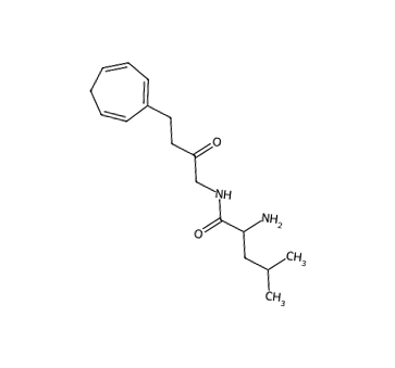 CC(C)CC(N)C(=O)NCC(=O)CCC1=CC=CCC=C1